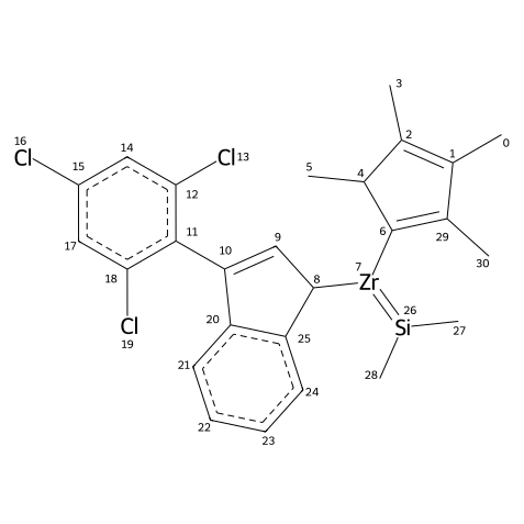 CC1=C(C)C(C)[C]([Zr]([CH]2C=C(c3c(Cl)cc(Cl)cc3Cl)c3ccccc32)=[Si](C)C)=C1C